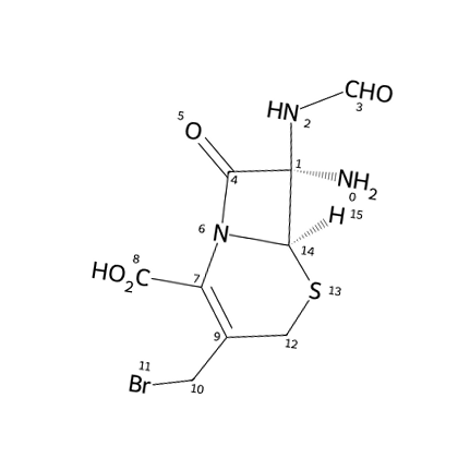 N[C@@]1(NC=O)C(=O)N2C(C(=O)O)=C(CBr)CS[C@@H]21